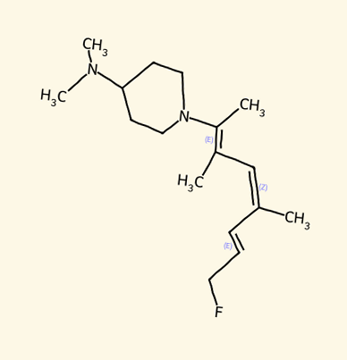 CC(=C/C(C)=C(\C)N1CCC(N(C)C)CC1)/C=C/CF